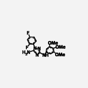 COc1cc(Nc2nc(N)n(-c3ccc(F)cc3F)n2)cc(OC)c1OC